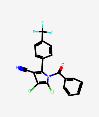 N#Cc1c(Cl)c(Cl)n(C(=O)c2ccccc2)c1-c1ccc(C(F)(F)F)cc1